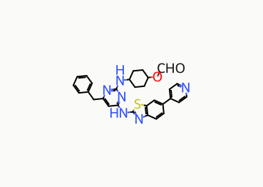 O=COC1CCC(Nc2nc(Cc3ccccc3)cc(Nc3nc4ccc(-c5ccncc5)cc4s3)n2)CC1